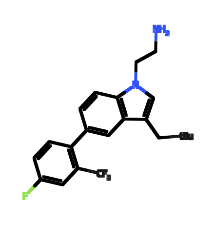 CC(C)(C)Cc1cn(CCN)c2ccc(-c3ccc(F)cc3C(F)(F)F)cc12